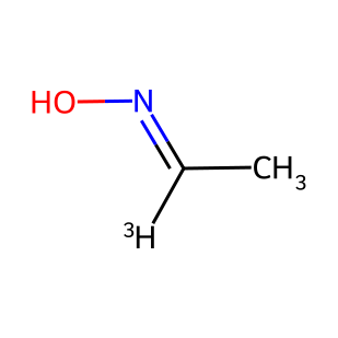 [3H]/C(C)=N\O